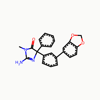 CN1C(=O)C(c2ccccc2)(c2cccc(-c3ccc4c(c3)OCO4)c2)N=C1N